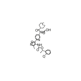 COc1ccccc1[C@@H](C)OC(=O)Nc1c(C)noc1-c1ccc(NC(=O)[C@H]2CCCC[C@@H]2C(=O)O)cn1